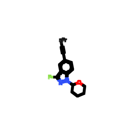 CCCC#Cc1ccc2c(c1)c(F)nn2C1CCCCO1